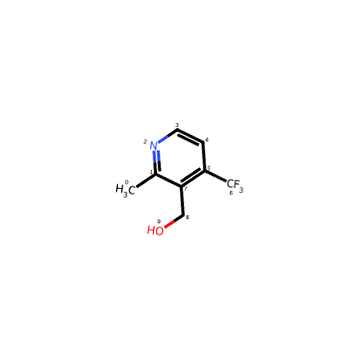 Cc1nccc(C(F)(F)F)c1CO